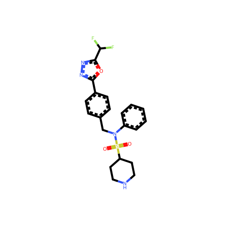 O=S(=O)(C1CCNCC1)N(Cc1ccc(-c2nnc(C(F)F)o2)cc1)c1ccccc1